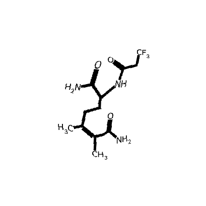 CC(CCC(NC(=O)CC(F)(F)F)C(N)=O)=C(C)C(N)=O